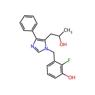 CC(O)Cc1c(-c2ccccc2)ncn1Cc1cccc(O)c1F